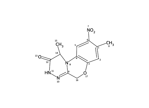 Cc1cc2c(cc1[N+](=O)[O-])N1C(=NNC(=O)C1C)CO2